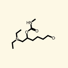 CCN(CC)CC(CCCC[O])OC(=O)NC